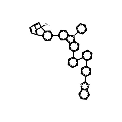 CC12C=C3C=CC(=C31)c1ccc(-c3ccc4c(c3)c3cc(-c5ccccc5-c5ccccc5-c5ccc(-c6nc7ccccc7o6)cc5)ccc3n4-c3ccccc3)cc12